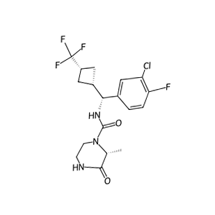 C[C@@H]1C(=O)NCCN1C(=O)N[C@@H](c1ccc(F)c(Cl)c1)[C@H]1C[C@@H](C(F)(F)F)C1